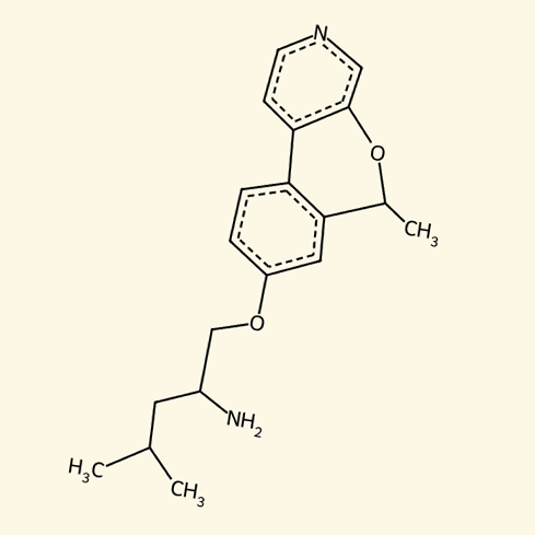 CC(C)CC(N)COc1ccc2c(c1)C(C)Oc1cnccc1-2